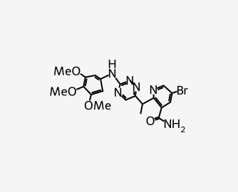 COc1cc(Nc2ncc(C(C)c3ncc(Br)cc3C(N)=O)nn2)cc(OC)c1OC